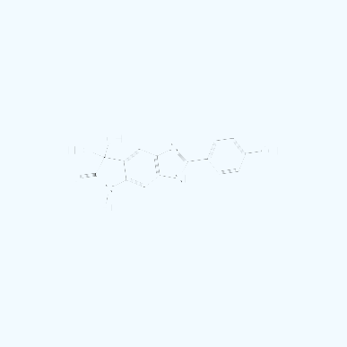 CCN1C(=O)C(C)(C)c2cc3nc(-c4ccc(O)cc4)[nH]c3cc21